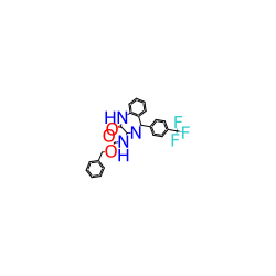 O=C(NC1N=C(c2ccc(C(F)(F)F)cc2)c2ccccc2NC1=O)OCc1ccccc1